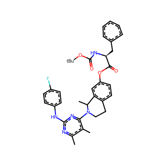 Cc1nc(Nc2ccc(F)cc2)nc(N2CCc3ccc(OC(=O)[C@H](Cc4ccccc4)NC(=O)OC(C)(C)C)cc3C2C)c1C